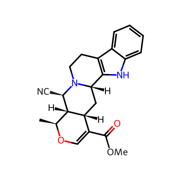 COC(=O)C1=CO[C@@H](C)[C@H]2[C@@H]1C[C@H]1c3[nH]c4ccccc4c3CCN1[C@@H]2C#N